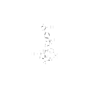 COC1C[C@H](C2=NC(=O)[C@](C)(c3ccc(-c4scnc4C)cc3)N2)N(C(=O)[C@@H](NC(=O)C2(C#N)CC2)C(C)(C)C)C1